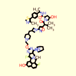 C#Cc1c(F)ccc2cc(O)cc(-c3ncc4c(N5CC6CCC(C5)N6)nc(OCCN5CCC(CC6CN(c7cc(C(C(=O)N8C[C@H](O)C[C@H]8C(=O)NC(C)c8ccc(-c9scnc9C)cc8)C(C)C)on7)C6)CC5)nc4c3F)c12